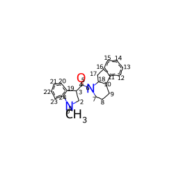 CN1CC(C(=O)N2CCCC3c4ccccc4CC32)c2ccccc21